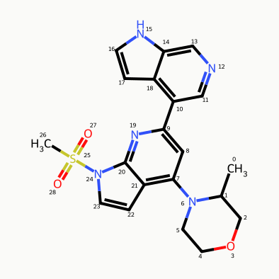 CC1COCCN1c1cc(-c2cncc3[nH]ccc23)nc2c1ccn2S(C)(=O)=O